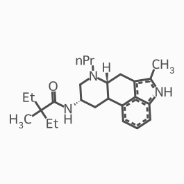 CCCN1C[C@@H](NC(=O)C(C)(CC)CC)CC2c3cccc4[nH]c(C)c(c34)C[C@H]21